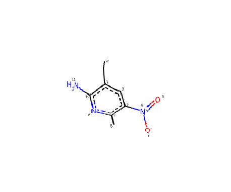 Cc1cc([N+](=O)[O-])c(C)nc1N